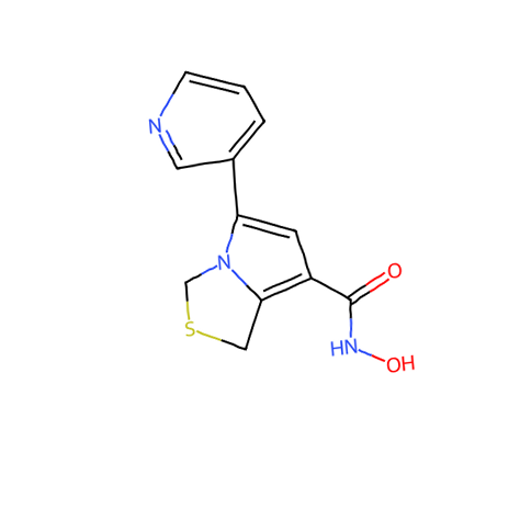 O=C(NO)c1cc(-c2cccnc2)n2c1CSC2